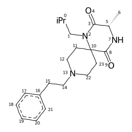 CC(C)CN1C(=O)[C@H](C)NC(=O)C12CCN(CCc1ccccc1)CC2